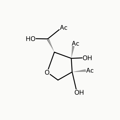 CC(=O)C(O)[C@H]1OC[C@@](O)(C(C)=O)[C@@]1(O)C(C)=O